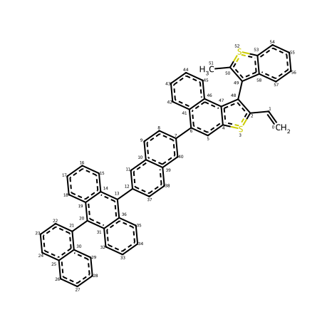 C=Cc1sc2cc(-c3ccc4cc(-c5c6ccccc6c(-c6cccc7ccccc67)c6ccccc56)ccc4c3)c3ccccc3c2c1-c1c(C)sc2ccccc12